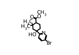 COC(=O)C1CC[C@](O)(c2ccc(Br)cn2)CC1(C)C